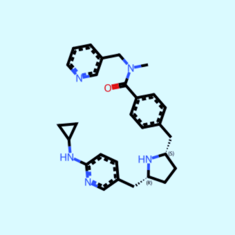 CN(Cc1cccnc1)C(=O)c1ccc(C[C@@H]2CC[C@H](Cc3ccc(NC4CC4)nc3)N2)cc1